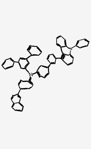 c1ccc(-c2cc(-c3ccccc3)cc(N(c3ccc(-c4ccc5ccccc5c4)cc3)c3cccc(-c4cccc(-c5cccc6c5c5ccccc5n6-c5ccccc5)c4)c3)c2)cc1